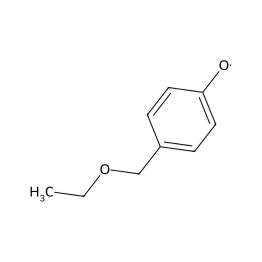 CCOCc1ccc([O])cc1